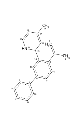 C=C(C)c1ccc(-c2ccccc2)cc1C1C=C(C)C=CN1